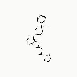 O=C(Cc1nc2c(N3CCC(O)(c4ccccc4)CC3)ncnc2s1)N1CCCC1